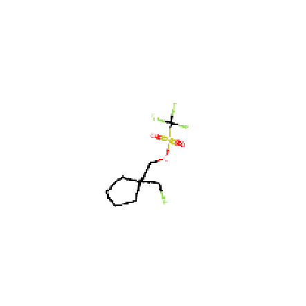 O=S(=O)(OCC1(CF)CCCC1)C(F)(F)F